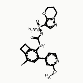 COc1cc(-c2cc(F)c3c(c2NC(=O)N=[S@@](N)(=O)c2cnn4c2OCCC4)CC3)ccn1